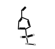 C=Cc1ccc(S(=O)(=O)NCC)cc1